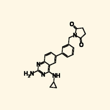 Nc1nc(NC2CC2)c2cc(-c3cccc(CN4C(=O)CCC4=O)c3)ccc2n1